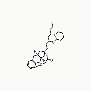 CCCCC[C@H](CC[C@]12C[C@H]3Cc4cccc(c4C[C@H]3C1)OCC(=O)O2)OC1CCCCO1